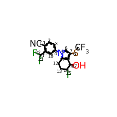 N#Cc1ccc(-n2cc(SC(F)(F)F)c3c2CCC(F)C3O)cc1C(F)F